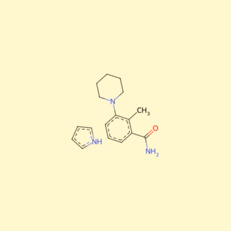 Cc1c(C(N)=O)cccc1N1CCCCC1.c1cc[nH]c1